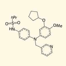 CCCS(=O)(=O)Nc1ccc(N(Cc2cccnc2)c2ccc(OC)c(OC3CCCC3)c2)cc1